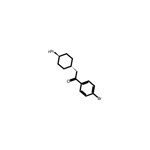 CCC[C@H]1CC[C@H](CC(=O)c2ccc(Br)cc2)CC1